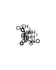 Cc1cc(NC(=O)[C@H](CCN)NC(=O)[C@@H]2Cc3ccccc3CN2C(=O)CCC(=O)NCC2CCCCC2)ccc1Cl